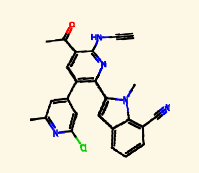 C#CNc1nc(-c2cc3cccc(C#N)c3n2C)c(-c2cc(C)nc(Cl)c2)cc1C(C)=O